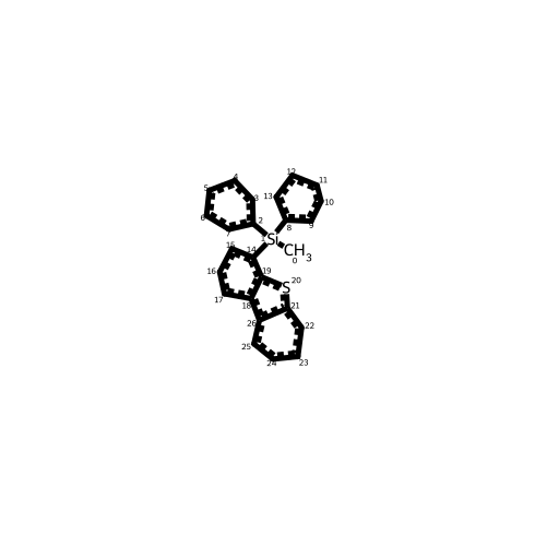 C[Si](c1ccccc1)(c1ccccc1)c1cccc2c1sc1ccccc12